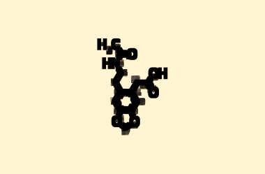 CC(=O)NCCc1cc2c(cc1CC(=O)O)OCO2